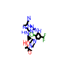 CC(O)C1(N2CCN(c3cc(C(F)F)cc(Nc4nc(NC5CC5)c5ncc(C#N)n5n4)c3Cl)CC2)COC1